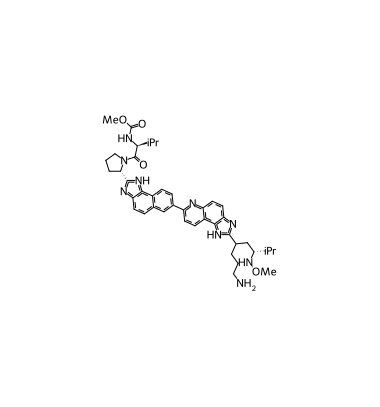 CON[C@H](CC(CCCN)c1nc2ccc3nc(-c4ccc5c(ccc6nc([C@@H]7CCCN7C(=O)[C@@H](NC(=O)OC)C(C)C)[nH]c65)c4)ccc3c2[nH]1)C(C)C